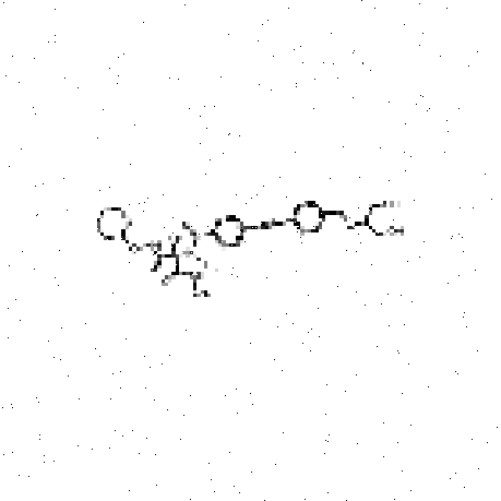 CNC(=O)C(C)(C(=O)NOC1CCCCO1)N(C)C(=O)c1ccc(C#Cc2ccc(COC(CO)CO)cc2)cc1